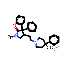 CCOC(=O)C1(c2ccccc2)CCN(CCC2CN(C(C)C)C(=O)C2(c2ccccc2)c2ccccc2)CC1